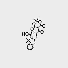 CC1(C)OC(=O)C(C(=O)CC[C@H](Cc2ccccc2)N(C(=O)O)C(C)(C)C)C(=O)O1